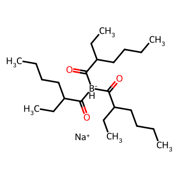 CCCCC(CC)C(=O)[BH-](C(=O)C(CC)CCCC)C(=O)C(CC)CCCC.[Na+]